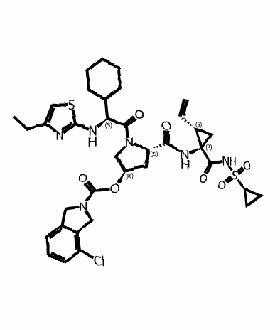 C=C[C@@H]1C[C@]1(NC(=O)[C@@H]1C[C@@H](OC(=O)N2Cc3cccc(Cl)c3C2)CN1C(=O)[C@@H](Nc1nc(CC)cs1)C1CCCCC1)C(=O)NS(=O)(=O)C1CC1